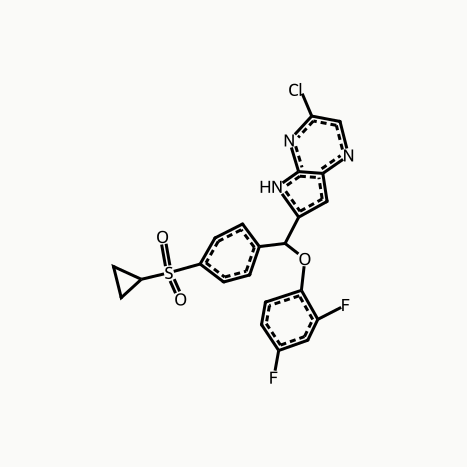 O=S(=O)(c1ccc(C(Oc2ccc(F)cc2F)c2cc3ncc(Cl)nc3[nH]2)cc1)C1CC1